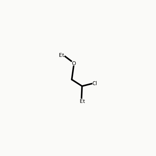 [CH2]COCC(Cl)CC